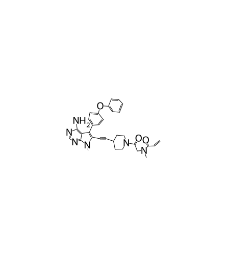 C=CC(=O)N(C)CC(=O)N1CCC(C#Cc2c(-c3ccc(Oc4ccccc4)cc3)c3c(N)ncnc3n2C)CC1